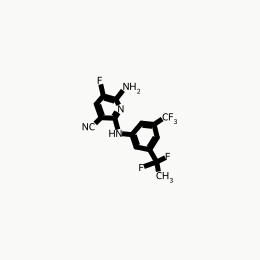 CC(F)(F)c1cc(Nc2nc(N)c(F)cc2C#N)cc(C(F)(F)F)c1